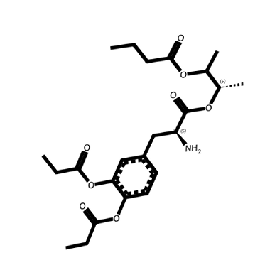 CCCC(=O)OC(C)[C@H](C)OC(=O)[C@@H](N)Cc1ccc(OC(=O)CC)c(OC(=O)CC)c1